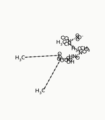 CC#CC#CC#CC#CC#CC#CC#CC#CC(=O)OCC(COP(=O)(O)OCCNC(=O)CCN1/C(=C/C=C/C=C/C=C/C2=[N+](CCCCS(=O)(=O)[O-])c3ccc4ccccc4c3C2(C)C)C(C)(C)c2c1ccc1ccccc21)OC(=O)C#CC#CC#CC#CC#CC#CC#CC#CC